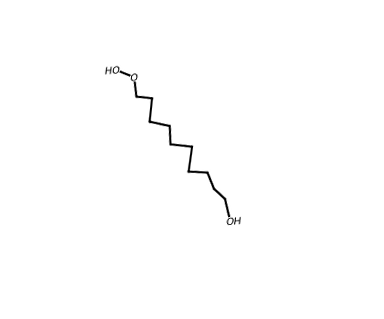 OCCCCCCCCCCOO